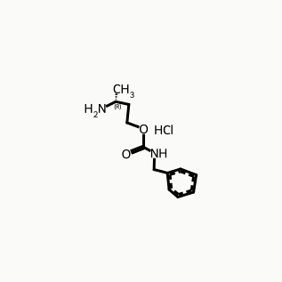 C[C@@H](N)CCOC(=O)NCc1ccccc1.Cl